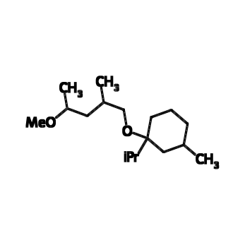 COC(C)CC(C)COC1(C(C)C)CCCC(C)C1